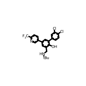 CC(C)(C)NCc1cc(-c2ccc(C(F)(F)F)nc2)cc(-c2ccc(Cl)c(Cl)c2)c1O